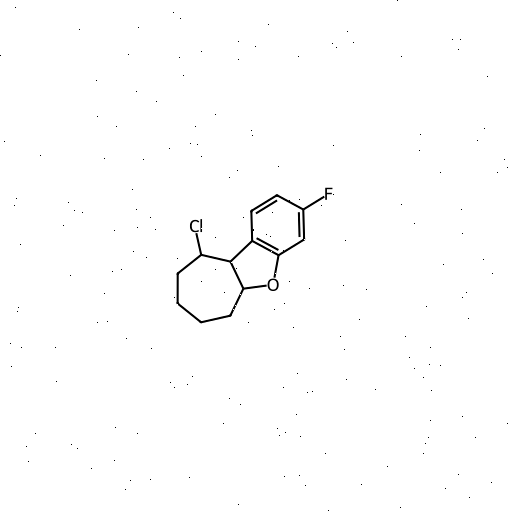 Fc1ccc2c(c1)OC1CCCCC(Cl)C21